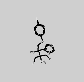 CC(CF)(CF)C(O)(COc1ccc(I)cc1)c1cncs1